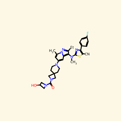 CCc1nn2c(C)cc(N3CCC4(CC3)CN(C(=O)N3CC(O)C3)C4)cc2c1N(C)c1nc(-c2ccc(F)cc2)c(C#N)s1